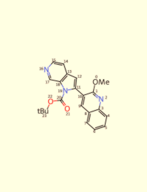 COc1nc2ccccc2cc1-c1cc2ccncc2n1C(=O)OC(C)(C)C